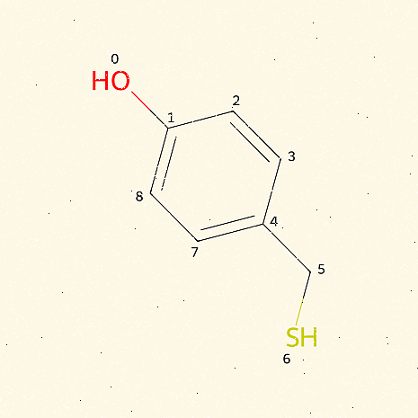 Oc1ccc(CS)cc1